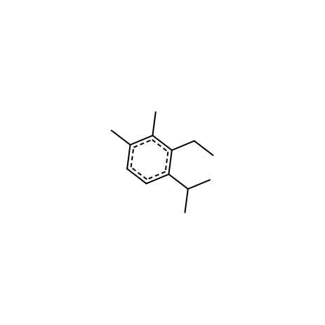 CCc1c(C(C)C)ccc(C)c1C